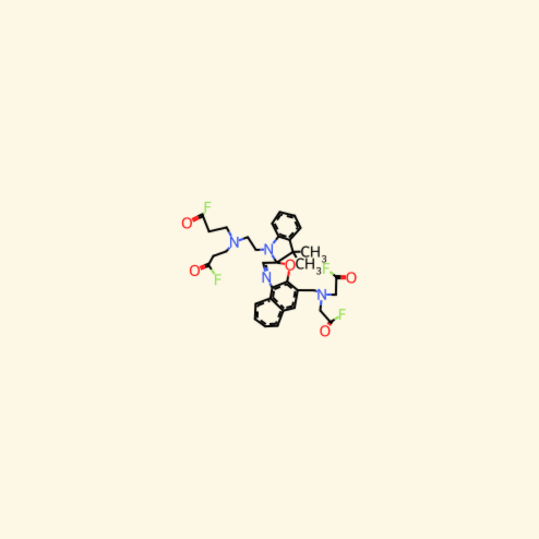 CC1(C)c2ccccc2N(CCN(CCC(=O)F)CCC(=O)F)C12C=Nc1c(c(CN(CC(=O)F)CC(=O)F)cc3ccccc13)O2